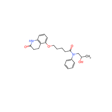 CC(O)CN(C(=O)CCCCOc1cccc2c1CCC(=O)N2)c1ccccc1